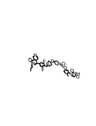 CCCCn1cc(-c2cc(F)c(CN3CCC(OC4CCN(C(=O)COc5ccc(C)c(-n6ccc(=O)[nH]c6=O)c5)CC4)CC3)c(F)c2)c2ccncc2c1=O